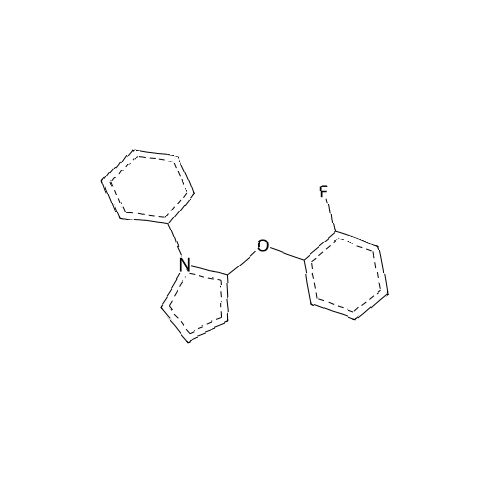 Fc1ccccc1Oc1cccn1-c1ccccc1